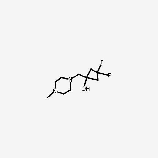 CN1CCN(CC2(O)CC(F)(F)C2)CC1